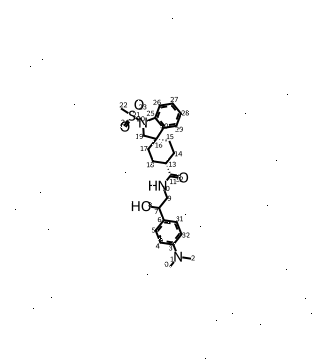 CN(C)c1ccc(C(O)CNC(=O)[C@H]2CC[C@]3(CC2)CN(S(C)(=O)=O)c2ccccc23)cc1